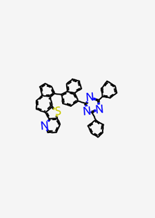 c1ccc(-c2nc(-c3ccccc3)nc(-c3ccc(-c4cccc5ccc6c7ncccc7sc6c45)c4ccccc34)n2)cc1